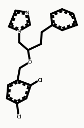 Clc1ccc(COC(CCc2ccccc2)Cn2ccnc2)c(Cl)c1